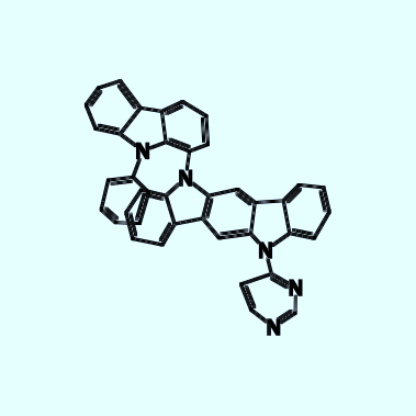 c1ccc(-n2c3ccccc3c3cccc(-n4c5ccccc5c5cc6c(cc54)c4ccccc4n6-c4ccncn4)c32)cc1